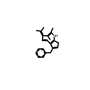 CC(C)=C1/C=C/C2=C(CC=C2Cc2ccccc2)N/C(C)=C/1C